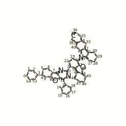 c1ccc(-c2ccc3c(c2)oc2c(-c4ccccc4)nc(-c4ccc(-n5c6ccccc6c6cc7ccccc7cc65)c5oc6ccccc6c45)nc23)cc1